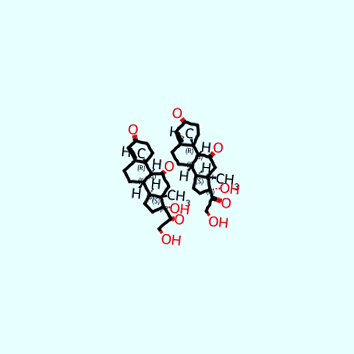 C[C@]12CCC(=O)C=C1CC[C@@H]1[C@@H]2C(=O)C[C@@]2(C)[C@H]1CC[C@]2(O)C(=O)CO.C[C@]12CCC(=O)C=C1CC[C@@H]1[C@@H]2C(=O)C[C@@]2(C)[C@H]1CC[C@]2(O)C(=O)CO